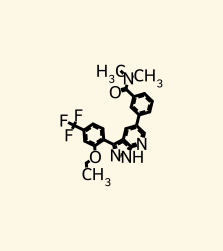 CCOc1cc(C(F)(F)F)ccc1-c1n[nH]c2ncc(-c3cccc(C(=O)N(C)C)c3)cc12